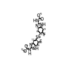 COC(=O)Nc1nc2cc(SSc3cc4nc(NC(=O)OC)[nH]c4cc3F)c(F)cc2[nH]1